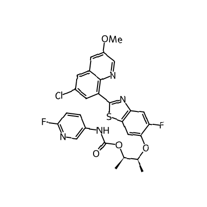 COc1cnc2c(-c3nc4cc(F)c(O[C@@H](C)[C@@H](C)OC(=O)Nc5ccc(F)nc5)cc4s3)cc(Cl)cc2c1